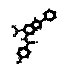 CCN(CC)c1cc2[nH]c(-c3ccccc3)nc2cc1NC(=O)c1ccc(Br)cc1